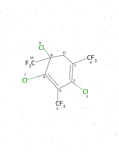 FC(F)(F)C1=C(Cl)C(C(F)(F)F)=C(Cl)C(Cl)(C(F)(F)F)C1